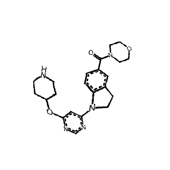 O=C(c1ccc2c(c1)CCN2c1cc(OC2CCNCC2)ncn1)N1CCOCC1